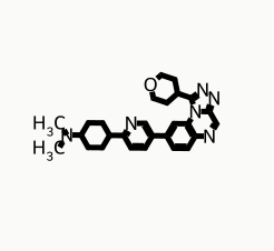 CN(C)C1CCC(c2ccc(-c3ccc4ncc5nnc(C6CCOCC6)n5c4c3)cn2)CC1